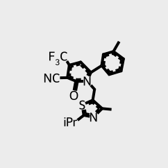 Cc1cccc(-c2cc(C(F)(F)F)c(C#N)c(=O)n2Cc2sc(C(C)C)nc2C)c1